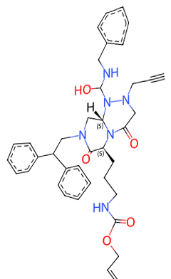 C#CCN1CC(=O)N2[C@@H](CCCNC(=O)OCC=C)C(=O)N(CC(c3ccccc3)c3ccccc3)C[C@@H]2N1C(O)NCc1ccccc1